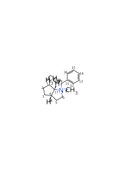 C[C@@H]1CC[C@H]2CC[N+](C)([C@H](C)c3ccccc3)[C@H]21